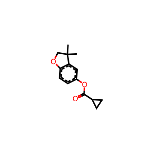 CC1(C)COc2ccc(OC(=O)C3CC3)cc21